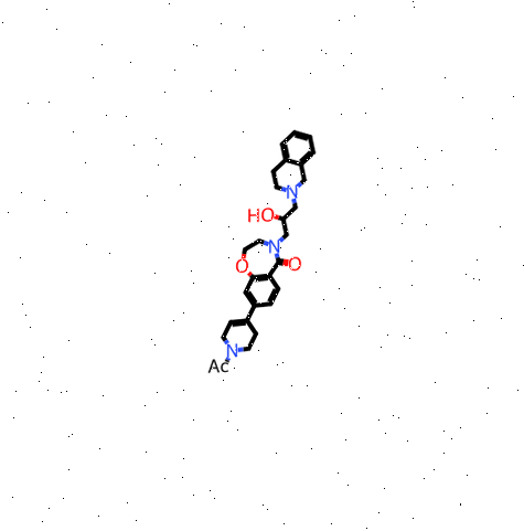 CC(=O)N1CC=C(c2ccc3c(c2)OCCN(CC(O)CN2CCc4ccccc4C2)C3=O)CC1